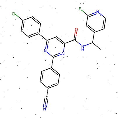 CC(NC(=O)c1cc(-c2ccc(Cl)cc2)nc(-c2ccc(C#N)cc2)n1)c1ccnc(F)c1